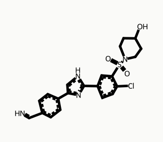 N=Cc1ccc(-c2c[nH]c(-c3ccc(Cl)c(S(=O)(=O)N4CCC(O)CC4)c3)n2)cc1